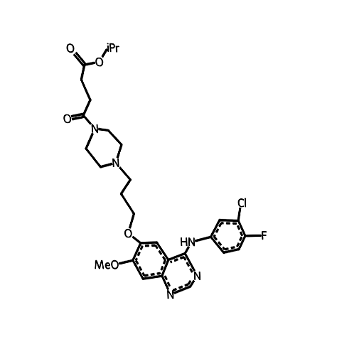 COc1cc2ncnc(Nc3ccc(F)c(Cl)c3)c2cc1OCCCN1CCN(C(=O)CCC(=O)OC(C)C)CC1